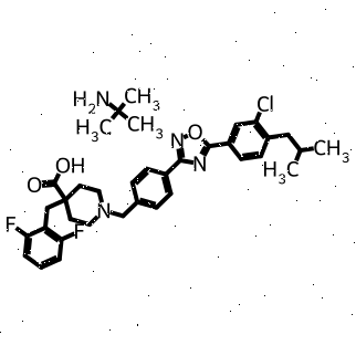 CC(C)(C)N.CC(C)Cc1ccc(-c2nc(-c3ccc(CN4CCC(Cc5c(F)cccc5F)(C(=O)O)CC4)cc3)no2)cc1Cl